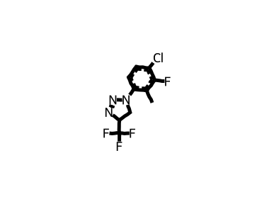 Cc1c(N2CC(C(F)(F)F)N=N2)ccc(Cl)c1F